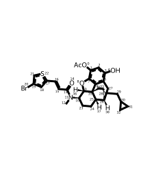 CC(=O)Oc1cc(O)c2c3c1O[C@H]1[C@H](N(C)C(=O)/C=C/c4cc(Br)cs4)CC[C@H]4[C@@H](C2)N(CC2CC2)CC[C@@]341